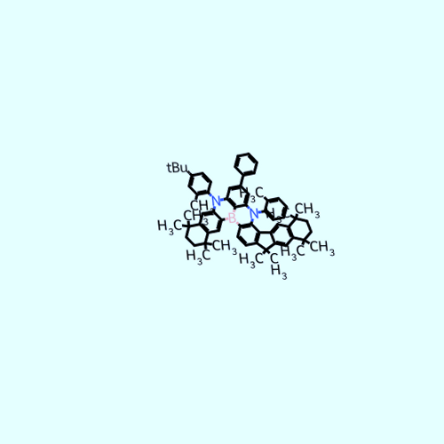 Cc1cc(C(C)(C)C)ccc1N1c2cc3c(cc2B2c4ccc5c(c4N(c4ccccc4C)c4cc(-c6ccccc6)cc1c42)-c1cc2c(cc1C5(C)C)C(C)(C)CCC2(C)C)C(C)(C)CCC3(C)C